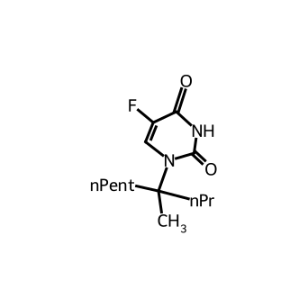 CCCCCC(C)(CCC)n1cc(F)c(=O)[nH]c1=O